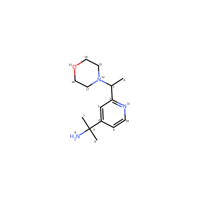 CC(c1cc(C(C)(C)N)ccn1)N1CCOCC1